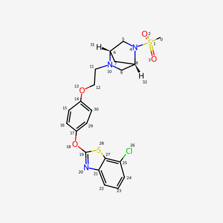 CS(=O)(=O)N1C[C@@H]2C[C@H]1CN2CCOc1ccc(Oc2nc3cccc(Cl)c3s2)cc1